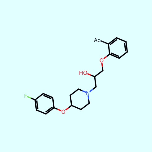 CC(=O)c1ccccc1OCC(O)CN1CCC(Oc2ccc(F)cc2)CC1